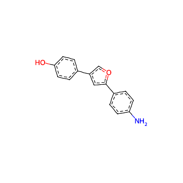 Nc1ccc(-c2cc(-c3ccc(O)cc3)co2)cc1